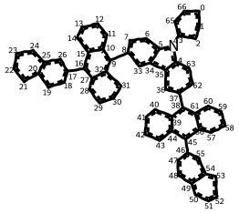 c1ccc(-n2c3ccc(-c4c5ccccc5c(-c5ccc6ccccc6c5)c5ccccc45)cc3c3cc(-c4c5ccccc5c(-c5ccc6ccccc6c5)c5ccccc45)ccc32)cc1